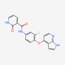 O=C(Nc1ccc(Oc2ccnc3[nH]ccc23)c(F)c1)c1ccc[nH]c1=O